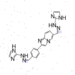 C(=N/Nc1ncc[nH]1)/c1ccc(-c2cn3cc(/C=N\Nc4ncc[nH]4)ccc3n2)cc1